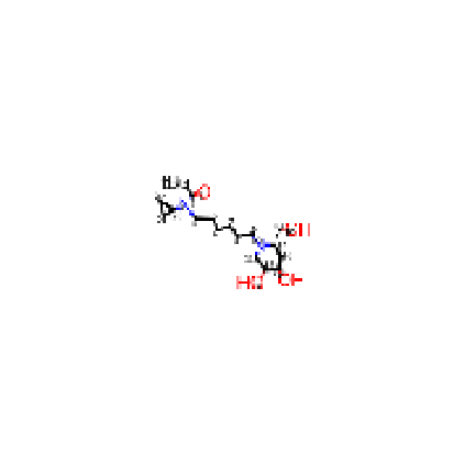 CC(C)(C)C(=O)N(CCCCCCN1C[C@H](O)[C@@H](O)C[C@H]1CO)C1CC1